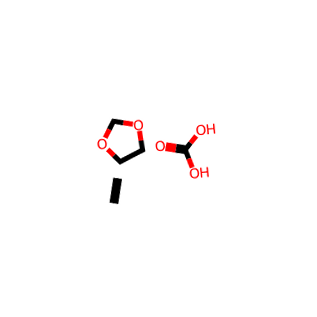 C1COCO1.C=C.O=C(O)O